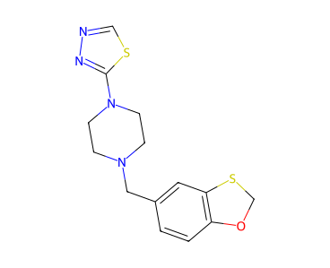 c1nnc(N2CCN(Cc3ccc4c(c3)SCO4)CC2)s1